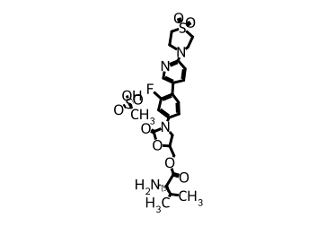 CC(C)[C@H](N)C(=O)OCC1CN(c2ccc(-c3ccc(N4CCS(=O)(=O)CC4)nc3)c(F)c2)C(=O)O1.CS(=O)(=O)O